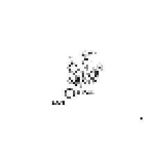 COc1ccc(S(=O)(=O)N2C(=O)C(c3cccnc3OC)(N3C[C@H](OC)C[C@H]3C(=O)N(C)C)c3cc(Cl)ccc32)c(OC)c1